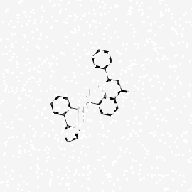 Cc1cc([C@@H](C)Nc2ccccc2-c2nccs2)c2oc(-c3ccccc3)c(C)c(=O)c2c1